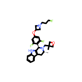 C[C@@H]1Cc2c([nH]c3ccccc23)[C@@H](c2c(F)cc(OC3CN(CCCF)C3)cc2F)N1CC1(C)COC1